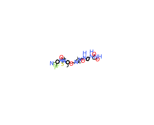 CCc1cc(N2C(=S)N(c3ccc(C#N)c(C(F)(F)F)c3)C(=O)C2(C)C)ccc1OCCN1CCN(CC(=O)Nc2cccc(N[C@H]3CCC(=O)NC3=O)c2)[C@H](C)C1